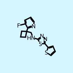 Fc1cccnc1C1(CNc2nnc(-c3cccs3)s2)CCC1